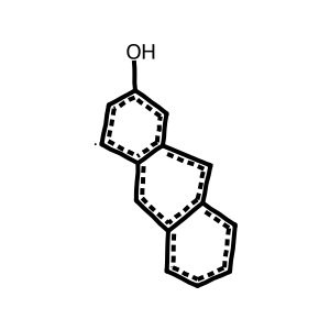 Oc1c[c]c2cc3ccccc3cc2c1